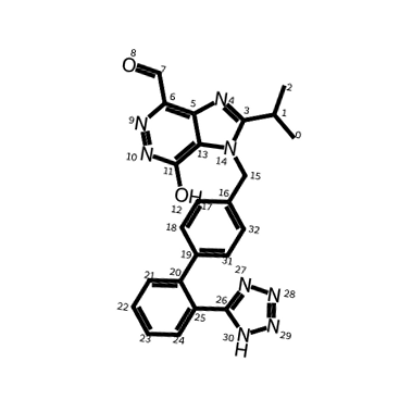 CC(C)c1nc2c(C=O)nnc(O)c2n1Cc1ccc(-c2ccccc2-c2nnn[nH]2)cc1